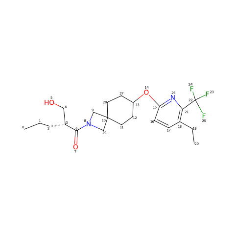 CCC[C@H](CO)C(=O)N1CC2(CCC(Oc3ccc(CC)c(C(F)(F)F)n3)CC2)C1